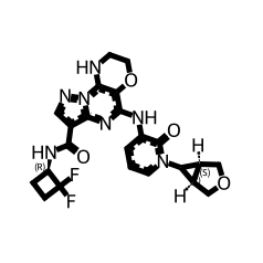 O=C(N[C@@H]1CCC1(F)F)c1cnn2c3c(c(Nc4cccn(C5[C@H]6COC[C@@H]56)c4=O)nc12)OCCN3